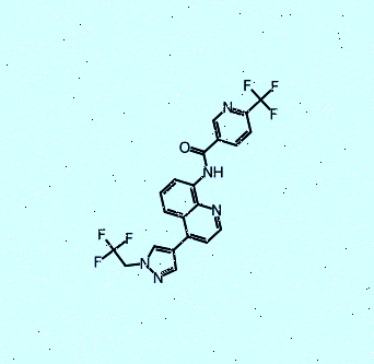 O=C(Nc1cccc2c(-c3cnn(CC(F)(F)F)c3)ccnc12)c1ccc(C(F)(F)F)nc1